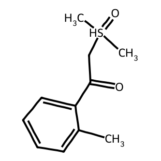 Cc1ccccc1C(=O)C[SH](C)(C)=O